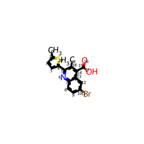 Cc1ccc(-c2nc3ccc(Br)cc3c(C(=O)O)c2C)s1